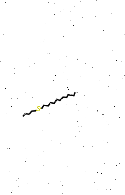 [CH2]CCCCCCCCCCCSCCCCC